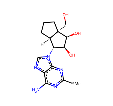 CSc1nc(N)c2ncn([C@H]3[C@H](O)[C@H](O)[C@]4(CO)CCC[C@H]34)c2n1